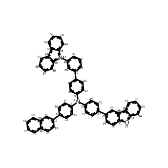 c1cc(-c2ccc(N(c3ccc(-c4ccc5ccccc5c4)cc3)c3ccc(-c4ccc5oc6ccccc6c5c4)cc3)cc2)cc(-n2c3ccccc3c3ccccc32)c1